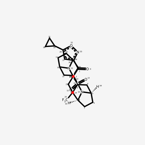 O=C(N[C@H]1C[C@H]2CC[C@@H](C1)N2S(=O)(=O)N1CC2CCC(C1)N2CCCC(F)(F)F)c1cc(C2CC2)on1